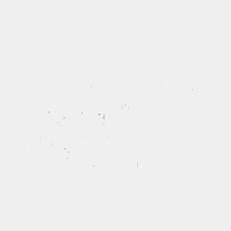 O=S1(=O)NCCN1CCNc1nccc(-c2c(-c3ccc(F)cc3)nc3occn23)n1